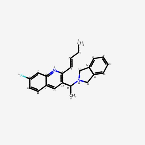 CCC=Cc1nc2cc(F)ccc2cc1C(C)N1Cc2ccccc2C1